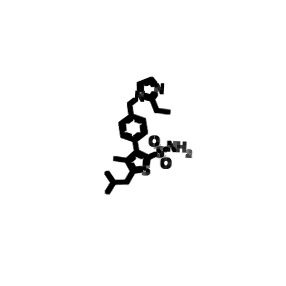 CCc1nccn1Cc1ccc(-c2c(S(N)(=O)=O)sc(CC(C)C)c2C)cc1